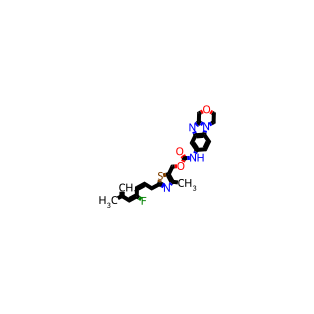 C=C(C)/C=C(F)\C=C/Cc1nc(C)c(COC(=O)Nc2ccc3c(c2)nc2n3CCOC2)s1